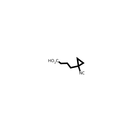 [C-]#[N+]C1(CCCC(=O)O)CC1